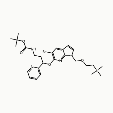 CC(C)(C)OC(=O)NCCC(Oc1nc2c(ccn2COCC[Si](C)(C)C)cc1Br)c1ccccn1